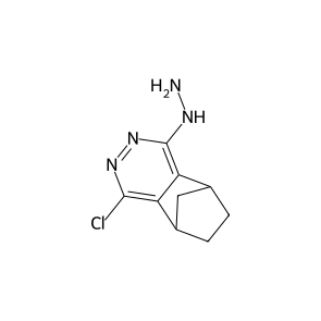 NNc1nnc(Cl)c2c1C1CCC2C1